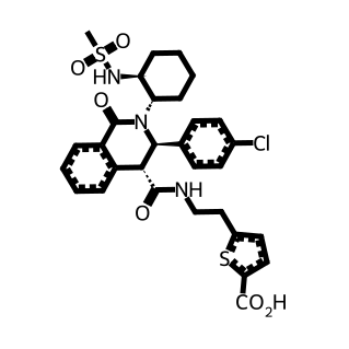 CS(=O)(=O)N[C@H]1CCCC[C@@H]1N1C(=O)c2ccccc2[C@@H](C(=O)NCCc2ccc(C(=O)O)s2)[C@@H]1c1ccc(Cl)cc1